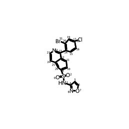 O=S(=O)(Nc1ccon1)c1ccc2c(-c3ccc(Cl)cc3Br)nccc2c1